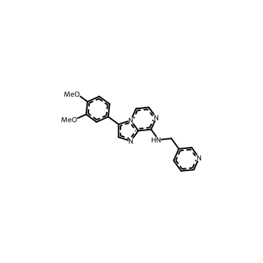 COc1ccc(-c2cnc3c(NCc4cccnc4)nccn23)cc1OC